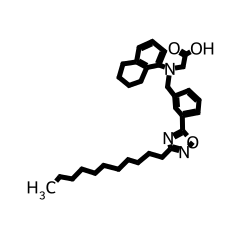 CCCCCCCCCCCc1noc(-c2cccc(CN(CC(=O)O)c3cccc4c3CCCC4)c2)n1